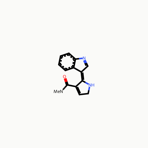 CNC(=O)C1=CCNC1=C1C=Nc2ccccc21